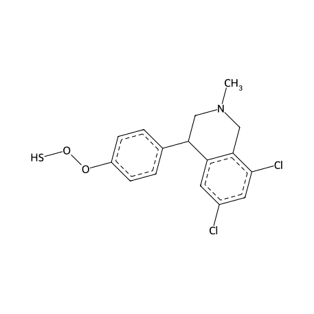 CN1Cc2c(Cl)cc(Cl)cc2C(c2ccc(OOS)cc2)C1